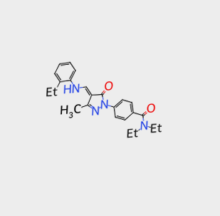 CCc1ccccc1NC=C1C(=O)N(c2ccc(C(=O)N(CC)CC)cc2)N=C1C